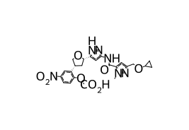 Cn1nc(COC2CC2)cc1C(=O)Nc1cc([C@@H]2C[C@H](c3cc([N+](=O)[O-])ccc3OC(=O)O)CO2)[nH]n1